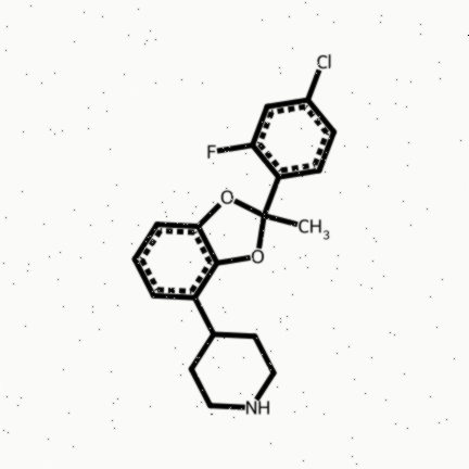 CC1(c2ccc(Cl)cc2F)Oc2cccc(C3CCNCC3)c2O1